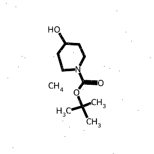 C.CC(C)(C)OC(=O)N1CCC(O)CC1